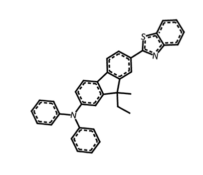 CCC1(C)c2cc(-c3nc4ccccc4s3)ccc2-c2ccc(N(c3ccccc3)c3ccccc3)cc21